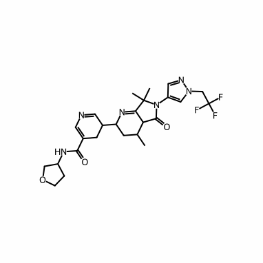 CC1CC(C2C=NC=C(C(=O)NC3CCOC3)C2)N=C2C1C(=O)N(c1cnn(CC(F)(F)F)c1)C2(C)C